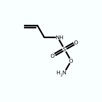 C=CCNS(=O)(=O)ON